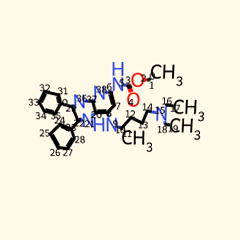 CCOC(=O)Nc1cc(NC(C)CCCN(CC)CC)c2nc(-c3ccccc3)c(-c3ccccc3)nc2n1